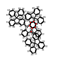 c1ccc(C2(c3ccc(N(c4ccc5c(c4)C(c4ccccc4)(c4ccccc4)c4ccccc4-5)c4ccccc4N(c4ccc5c(c4)-c4ccccc4C5(c4ccccc4)c4ccccc4)c4cccc5c4oc4ccccc45)cc3)c3ccccc3-c3ccccc32)cc1